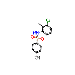 Cc1c(Cl)cccc1NS(=O)(=O)c1ccc(C#N)cc1